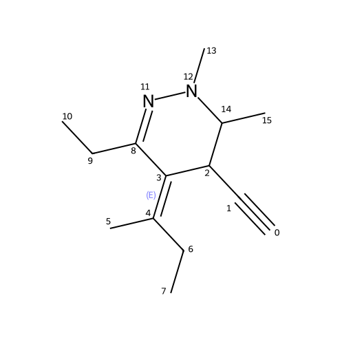 C#CC1/C(=C(/C)CC)C(CC)=NN(C)C1C